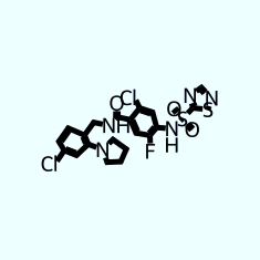 O=C(NCc1ccc(Cl)cc1N1CCCC1)c1cc(F)c(NS(=O)(=O)c2ncns2)cc1Cl